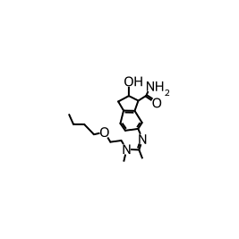 CCCCOCCN(C)C(C)=Nc1ccc2c(c1)C(C(N)=O)C(O)C2